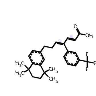 CC1(C)CCC(C)(C)c2cc(CC/C=C(/C=C/C(=O)O)c3cccc(C(F)(F)F)c3)ccc21